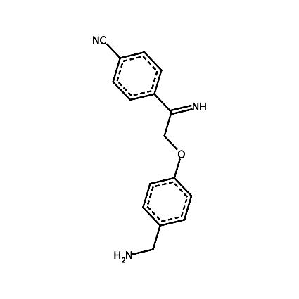 N#Cc1ccc(C(=N)COc2ccc(CN)cc2)cc1